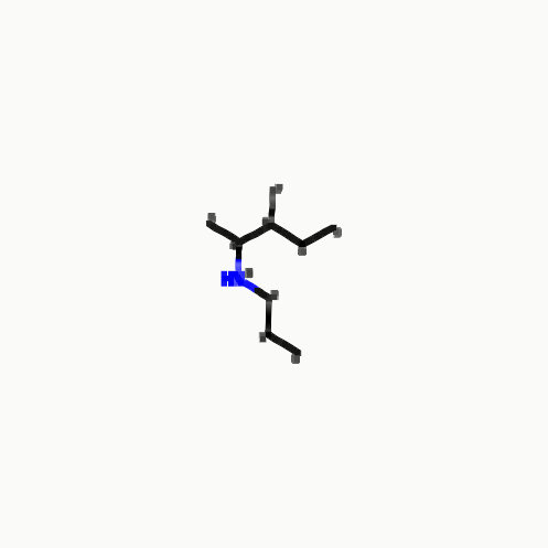 CCCNC(C)C(C)CC